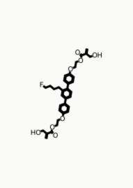 C=C(CO)C(=O)OCCOc1ccc(-c2ccc(-c3ccc(OCCOC(=O)C(=C)CO)cc3)c(CCCCF)c2)cc1